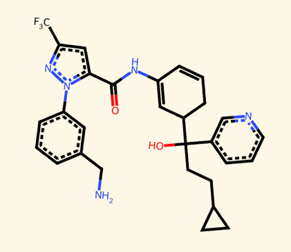 NCc1cccc(-n2nc(C(F)(F)F)cc2C(=O)NC2=CC(C(O)(CCC3CC3)c3cccnc3)CC=C2)c1